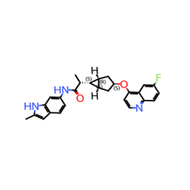 Cc1cc2ccc(NC(=O)C(C)[C@@H]3[C@@H]4C[C@@H](Oc5ccnc6ccc(F)cc56)C[C@@H]43)cc2[nH]1